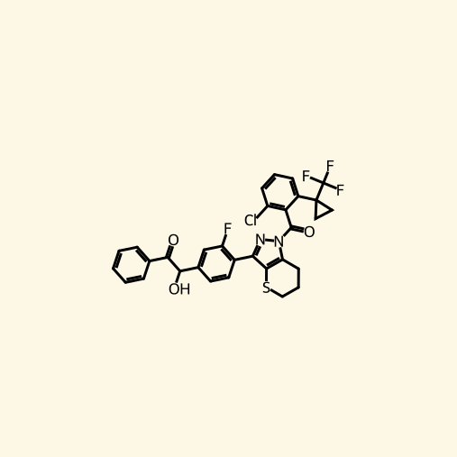 O=C(c1ccccc1)C(O)c1ccc(-c2nn(C(=O)c3c(Cl)cccc3C3(C(F)(F)F)CC3)c3c2SCCC3)c(F)c1